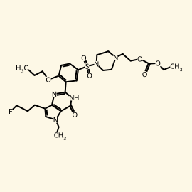 CCCOc1ccc(S(=O)(=O)N2CCN(CCOC(=O)OCC)CC2)cc1-c1nc2c(CCCF)cn(CC)c2c(=O)[nH]1